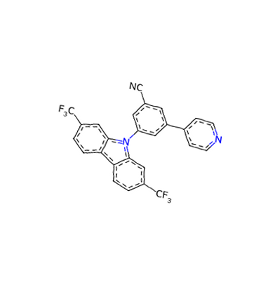 N#Cc1cc(-c2ccncc2)cc(-n2c3cc(C(F)(F)F)ccc3c3ccc(C(F)(F)F)cc32)c1